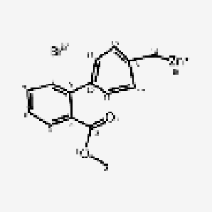 COC(=O)c1ccccc1-c1ccc([CH2][Zn+])cc1.[Br-]